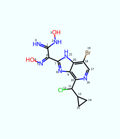 N=C(NO)C(=NO)c1nc2c(C(Cl)C3CC3)ncc(Br)c2[nH]1